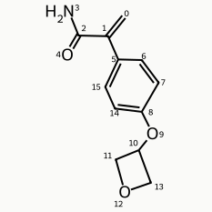 C=C(C(N)=O)c1ccc(OC2COC2)cc1